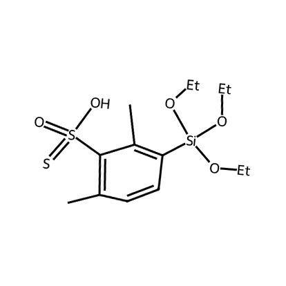 CCO[Si](OCC)(OCC)c1ccc(C)c(S(=O)(O)=S)c1C